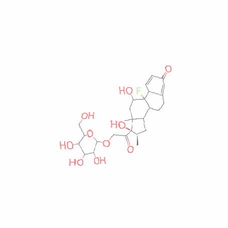 C[C@@H]1CC2C3CCC4=CC(=O)C=CC4[C@@]3(F)C(O)CC2(C)[C@@]1(O)C(=O)COC1OC(CO)C(O)C(O)C1O